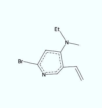 C=Cc1cnc(Br)cc1N(C)CC